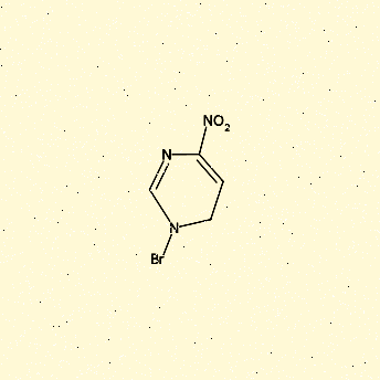 O=[N+]([O-])C1=CCN(Br)C=N1